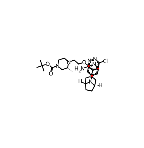 C[C@@H]1CN(C(=O)OC(C)(C)C)CCN1CCOc1cc(N2[C@@H]3CC[C@@H]2CN(c2cc(Cl)nnc2N)C3)ccn1